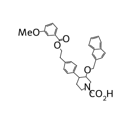 COc1cccc(C(=O)OCCc2ccc(C3CCN(C(=O)O)CC3OCc3ccc4ccccc4c3)cc2)c1